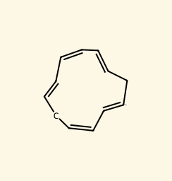 [C]1=C/C=C\C/C=C/C=C\C=C\C/1